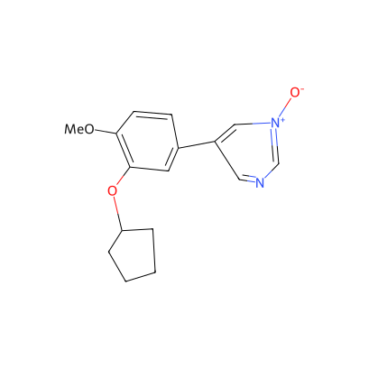 COc1ccc(-c2cnc[n+]([O-])c2)cc1OC1CCCC1